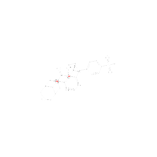 CC1(OC(=O)N2CC3COCC(C2)C3Oc2ncnc3c(-c4ccc(S(C)(=O)=O)cc4)csc23)CC1